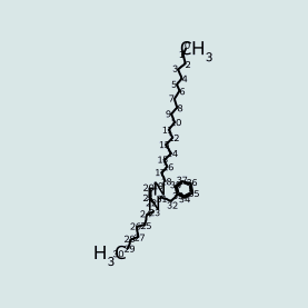 CCCCCCCCCCCCCCCCCCCN1C=CN(CCCCCCCC)C1Cc1ccccc1